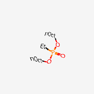 CCCCCCCCOP(=O)(CC)OCCCCCCCC